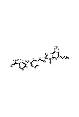 CNC(=O)c1cc(Oc2cccc(/C=C/C(=O)Nc3cc(OC)cc(C(F)(F)F)c3)c2)ccn1